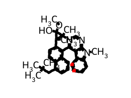 COC1(O)C2(C)c3ccc4c(CC(C)(C)C)cccc4c3-c3c4c5c6ccccc6ccc5n(C)c4nc[n+]3C12C